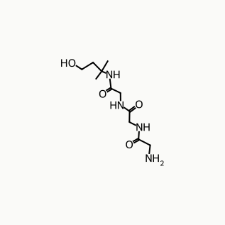 CC(C)(CCO)NC(=O)CNC(=O)CNC(=O)CN